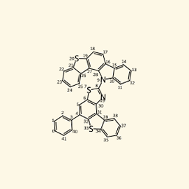 c1ccc(-c2cc3sc(-n4c5ccccc5c5ccc6sc7ccccc7c6c54)nc3c3c2sc2ccccc23)cc1